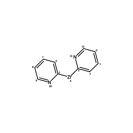 c1cc[c]([Zr][c]2ccccn2)nc1